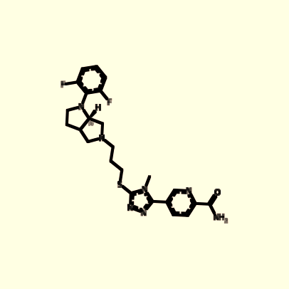 Cn1c(SCCCN2CC3CCN(c4c(F)cccc4F)[C@@H]3C2)nnc1-c1ccc(C(N)=O)nc1